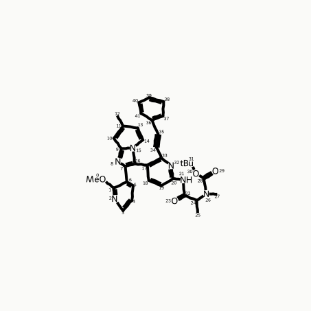 COc1ncccc1-c1nc2cc(C)ccn2c1-c1ccc(NC(=O)C(C)N(C)C(=O)OC(C)(C)C)nc1C#Cc1ccccc1